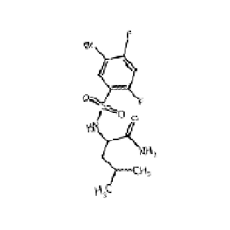 CC(C)CC(NS(=O)(=O)c1cc(Br)c(F)cc1F)C(N)=O